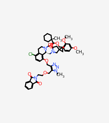 COc1ccc(COC(=O)[C@@]2(C)CCCC[C@H]2C(=O)N2CCc3c(Cl)ccc(OCc4nnn(C)c4COCCN4C(=O)c5ccccc5C4=O)c3[C@H]2CN2CC3(CC3)CC2=O)c(OC)c1